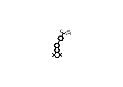 CCNC(=O)c1ccc(-c2ccc3cc4c(cc3c2)C(C)(C)CCC4(C)C)cc1